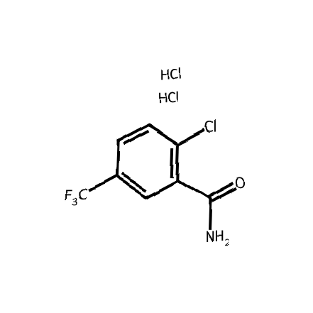 Cl.Cl.NC(=O)c1cc(C(F)(F)F)ccc1Cl